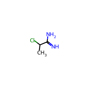 CC(Cl)C(=N)N